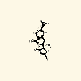 C[C@@]1(c2sc(Br)cc2Cl)Cc2nc(C3CC3)ncc2C(=N)N1